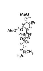 COCOc1cc(OCOC)c(C(C)C)cc1-c1nnc(S(=O)(=O)CCCN(C)C)n1C(C)C